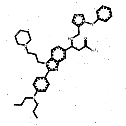 CCCN(CCC)c1ccc(-c2nc3cc(C(CC(N)=O)NCc4cccn4Sc4ccccc4)ccc3n2CCCN2CCCCC2)cc1